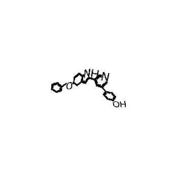 Oc1ccc(-c2cncc(-c3cc4c([nH]3)C=CC(OCc3ccccc3)C4)c2)cc1